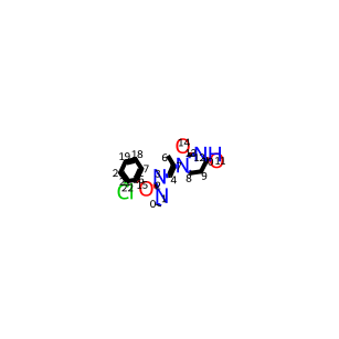 C=N/C(=N\C=C(/C)N1CCC(=O)NC1=O)Oc1ccccc1Cl